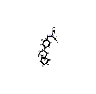 [C-]#[N+]/C(C#N)=C/c1ccc(N(CC)Cc2ccccc2)cc1